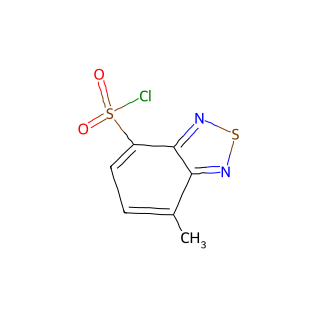 Cc1ccc(S(=O)(=O)Cl)c2nsnc12